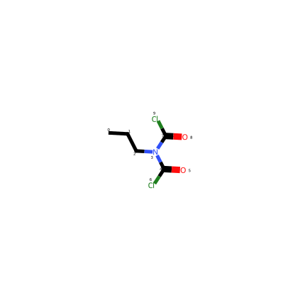 CCCN(C(=O)Cl)C(=O)Cl